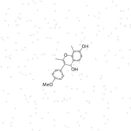 COc1ccc(C2=C(C)Oc3c(ccc(O)c3C)C2O)cc1